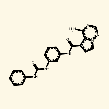 Nc1ncnn2ccc(C(=O)Nc3cccc(NC(=O)Nc4ccccc4)c3)c12